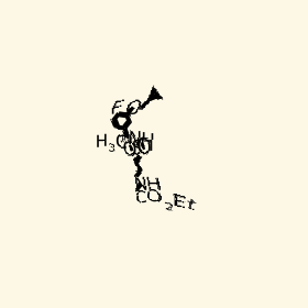 CCOC(=O)CNCCCCS(=O)(=O)N[C@H](C)c1ccc(F)c(OCC2CC2)c1